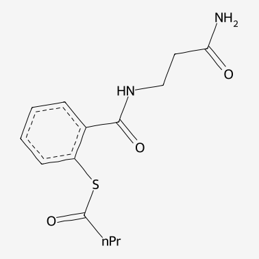 CCCC(=O)Sc1ccccc1C(=O)NCCC(N)=O